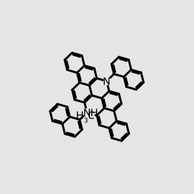 Cc1cc2ccccc2c2ccc3c(c12)-c1c(Nc2cccc4ccccc24)ccc2c1c(cc1ccccc12)N3c1cccc2ccccc12